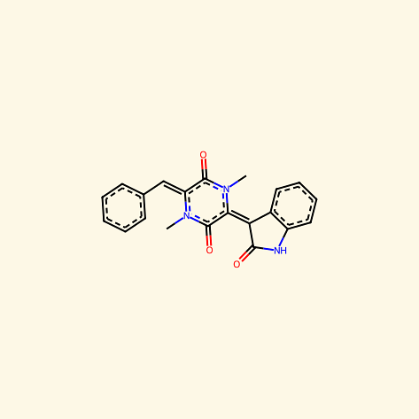 Cn1c(=C2C(=O)Nc3ccccc32)c(=O)n(C)/c(=C\c2ccccc2)c1=O